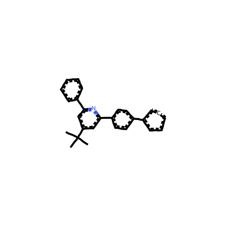 CC(C)(C)c1cc(-c2ccccc2)nc(-c2ccc(-c3ccccc3)cc2)c1